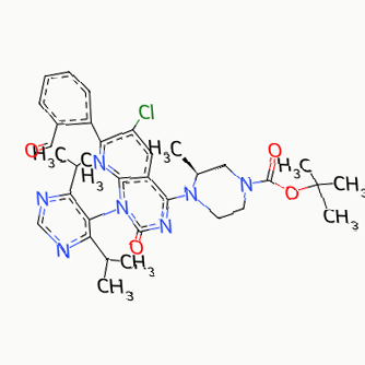 CC(C)c1ncnc(C(C)C)c1-n1c(=O)nc(N2CCN(C(=O)OC(C)(C)C)C[C@@H]2C)c2cc(Cl)c(-c3ccccc3C=O)nc21